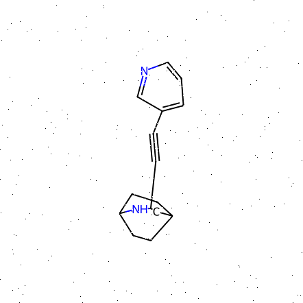 C(#CC1CC2CCC(CC2)N1)c1cccnc1